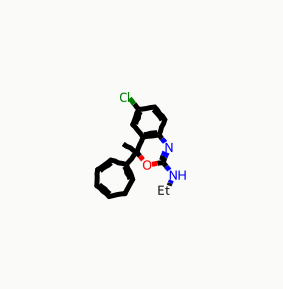 CCNC1=Nc2ccc(Cl)cc2C(C)(C2=CCC=CC=C2)O1